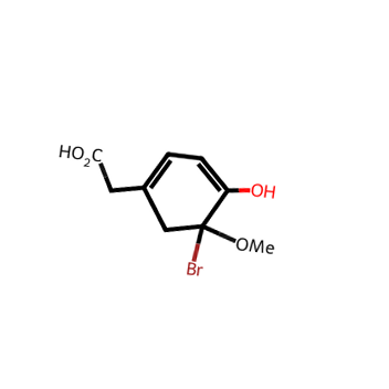 COC1(Br)CC(CC(=O)O)=CC=C1O